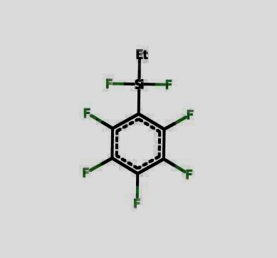 CC[Si](F)(F)c1c(F)c(F)c(F)c(F)c1F